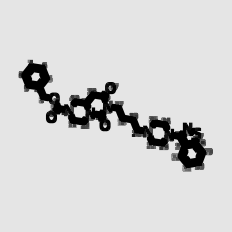 O=C(OCc1ccccc1)N1CCN2C(=O)N(CCCCN3CCN(c4nsc5ccccc45)CC3)C(=O)CC2C1